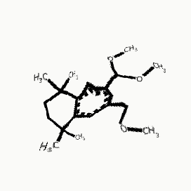 COCc1cc2c(cc1C(OC)OC)C(C)(C)CCC2(C)C